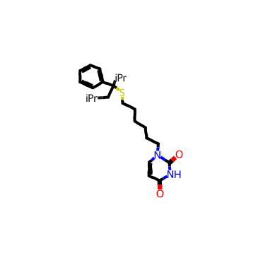 CC(C)CC(SCCCCCCn1ccc(=O)[nH]c1=O)(c1ccccc1)C(C)C